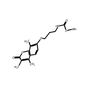 Cc1c(C)c2ccc(OCCCNC(=O)OC(C)(C)C)c(C)c2oc1=O